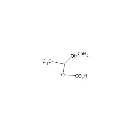 O=C(O)OC(O)C(Cl)(Cl)Cl.[CaH2]